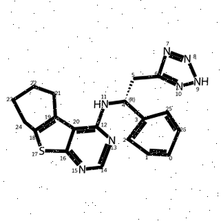 c1ccc([C@@H](Cc2nn[nH]n2)Nc2ncnc3sc4c(c23)CCCC4)cc1